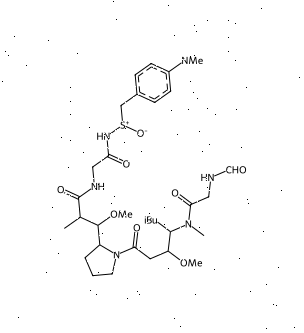 CCC(C)C(C(CC(=O)N1CCCC1C(OC)C(C)C(=O)NCC(=O)N[S+]([O-])Cc1ccc(NC)cc1)OC)N(C)C(=O)CNC=O